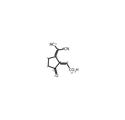 N#CC(C#N)=C1CCC(=O)/C1=C\C(=O)O